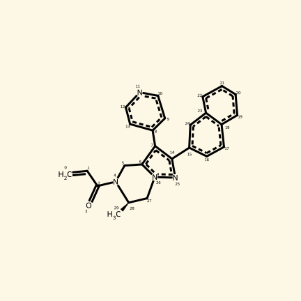 C=CC(=O)N1Cc2c(-c3ccncc3)c(-c3ccc4ccccc4c3)nn2C[C@H]1C